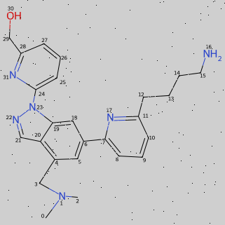 CN(C)Cc1cc(-c2cccc(CCCCN)n2)cc2c1cnn2-c1cccc(CO)n1